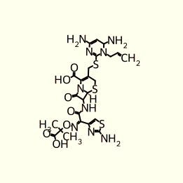 C=CCN1C(SCC2=C(C(=O)O)N3C(=O)C(NC(=O)/C(=N\OC(C)(C)C(=O)O)c4csc(N)n4)[C@@H]3SC2)=NC(N)=CC1N